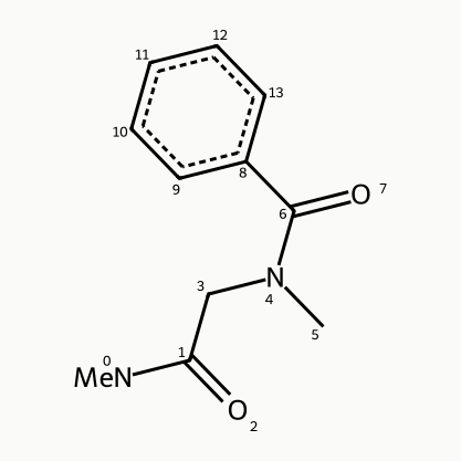 CNC(=O)CN(C)C(=O)c1ccccc1